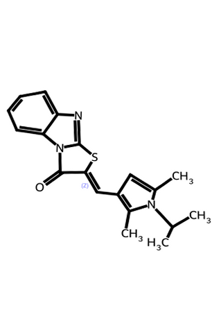 Cc1cc(/C=c2\sc3nc4ccccc4n3c2=O)c(C)n1C(C)C